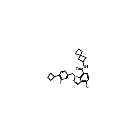 O=C(NC1CC2(CCC2)C1)c1ccc(Cl)c2cnn(Cc3ccc(C4CCC4)c(F)c3)c12